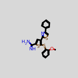 COc1ccccc1Sc1sc(C(=N)N)cc1-c1nc(-c2ccccc2)cs1